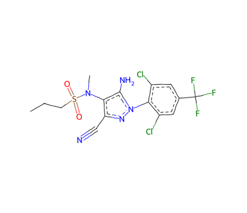 CCCS(=O)(=O)N(C)c1c(C#N)nn(-c2c(Cl)cc(C(F)(F)F)cc2Cl)c1N